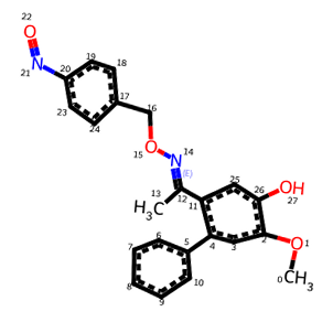 COc1cc(-c2ccccc2)c(/C(C)=N/OCc2ccc(N=O)cc2)cc1O